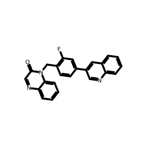 O=c1cnc2ccccc2n1Cc1ccc(-c2cnc3ccccc3c2)cc1F